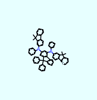 CC1(C)c2ccccc2-c2ccc(N(c3ccccc3)c3cc(N(c4ccccc4)c4ccc5c(c4)C(C)(C)c4ccccc4-5)c4c(c3)C(c3ccccc3)(c3ccccc3)c3ccccc3-4)cc21